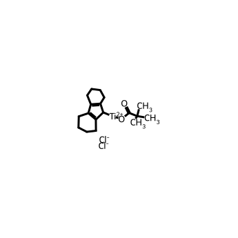 CC(C)(C)C(=O)[O][Ti+2][CH]1C2=C(CCCC2)C2=C1CCCC2.[Cl-].[Cl-]